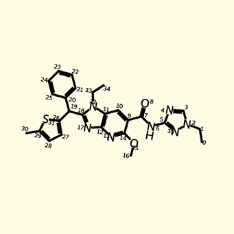 CCn1cnc(NC(=O)c2cc3c(nc2OC)nc(C(c2ccccc2)c2ccc(C)s2)n3CC)n1